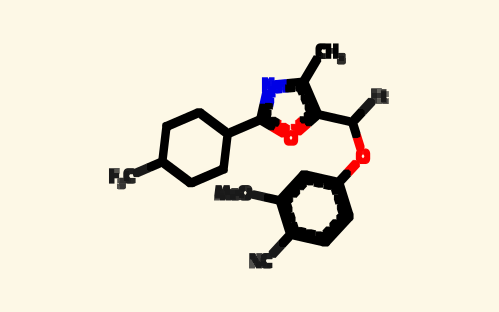 CCC(Oc1ccc(C#N)c(OC)c1)c1oc(C2CCC(C(F)(F)F)CC2)nc1C